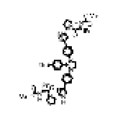 COC(=O)N[C@H](C(=O)N1CCC[C@H]1c1cc(-c2ccc([C@H]3CC[C@H](c4ccc(-c5c[nH]c([C@@H]6CCCN6C(=O)[C@@H](NC(=O)OC)C(C)C)n5)cc4)N3c3ccc(C(C)(C)C)cc3)cc2)n[nH]1)C(C)C